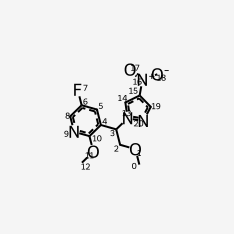 COCC(c1cc(F)cnc1OC)n1cc([N+](=O)[O-])cn1